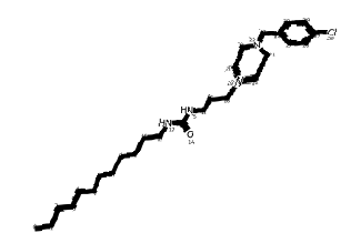 CCCCCCCCCCCCNC(=O)NCCCN1CCN(Cc2ccc(Cl)cc2)CC1